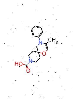 CC1=COC2(CCN(C(=O)O)CC2)CN1c1ccccc1